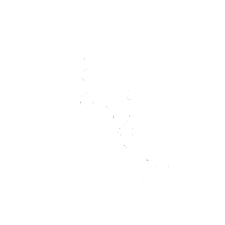 Cc1cc(Cl)c(O[C@H]2CCN(c3ccc([C@@H]4CCN(C(=O)OC(C)(C)C)C[C@H]4C(=O)N(Cc4cc(CNC(=O)CC(F)(F)F)ccc4Cl)C4CC4)cn3)C2)c(Cl)c1